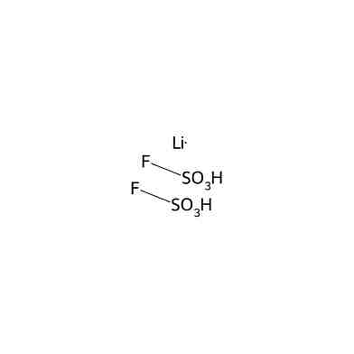 O=S(=O)(O)F.O=S(=O)(O)F.[Li]